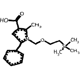 Cc1c(C(=O)O)cc(-c2ccccc2)n1COCC[Si](C)(C)C